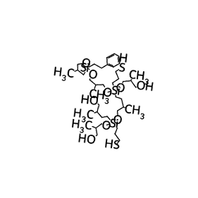 CC(CO)CC[Si](CCCS)(OCC(C)CO)OCC(C)CC[Si](CCCS)(OCC(C)CO)OCC(C)CO[Si]1(CCc2ccccc2)CC(C)CO1